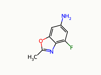 Cc1nc2c(F)cc(N)cc2o1